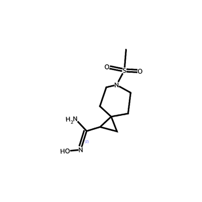 CS(=O)(=O)N1CCC2(CC1)CC2/C(N)=N/O